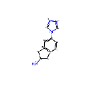 NC1Cc2ccc(-n3cnnc3)cc2C1